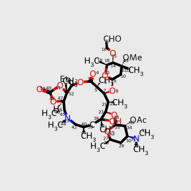 CC[C@H]1OC(=O)[C@H](C)[C@@H](O[C@H]2C[C@@](C)(OC)[C@@H](OCC=O)[C@H](C)O2)[C@H](C)[C@@H](O[C@@H]2O[C@H](C)C[C@H](N(C)C)[C@H]2OC(C)=O)[C@](C)(O)C[C@@H](C)CN(C)[C@H](C)[C@H]2OC(=O)O[C@@]21C